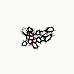 C/C=c1\c(=C/C)n(-c2ccccc2)c2cccc(N(c3ccccc3)c3ccc4c(c3)C3(c5ccccc5-4)c4ccccc4-c4cc(-c5ccccc5)c(N(c5ccccc5)c5ccccc5)cc43)c12